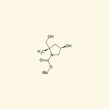 CC(C)(C)OC(=O)N1C[C@H](O)C[C@@]1(C)CO